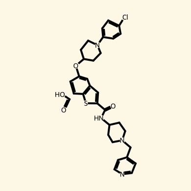 O=C(NC1CCN(Cc2ccncc2)CC1)c1cc2cc(OC3CCN(c4ccc(Cl)cc4)CC3)ccc2s1.O=CO